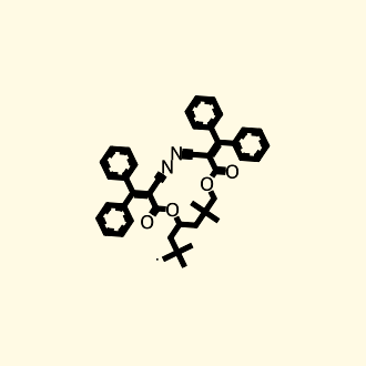 [CH2]C(C)(C)CC(CC(C)(C)COC(=O)C(C#N)=C(c1ccccc1)c1ccccc1)OC(=O)C(C#N)=C(c1ccccc1)c1ccccc1